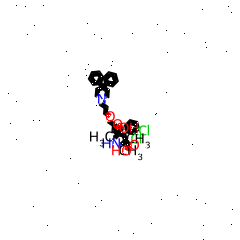 CC1NC(C)C(CCCOCCCN2CCC(c3ccccc3)(c3ccccc3)CC2)(C(=O)O)[C@H](c2cccc(Cl)c2Cl)C1(C)C(=O)O